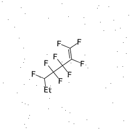 CCC(F)C(F)(F)C(F)(F)C(F)=C(F)F